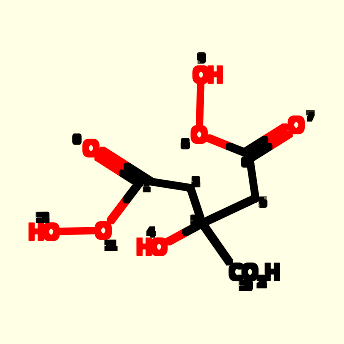 O=C(CC(O)(CC(=O)OO)C(=O)O)OO